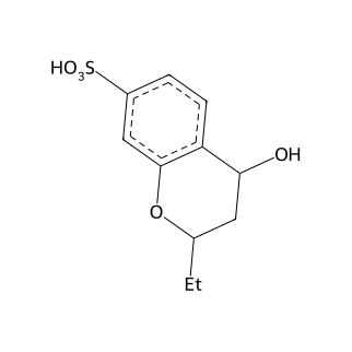 CCC1CC(O)c2ccc(S(=O)(=O)O)cc2O1